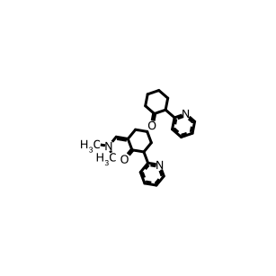 CN(C)/C=C1/CCCC(c2ccccn2)C1=O.O=C1CCCCC1c1ccccn1